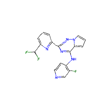 Fc1cnccc1Nc1nc(-c2cccc(C(F)F)n2)nn2cccc12